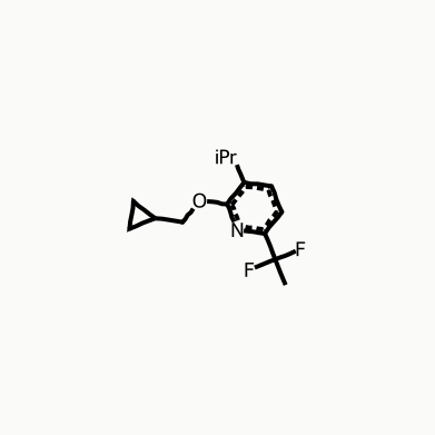 CC(C)c1ccc(C(C)(F)F)nc1OCC1CC1